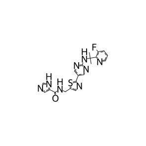 CC(C)(Nc1ncc(-c2ncc(CNC(=O)c3cnc[nH]3)s2)cn1)c1ncccc1F